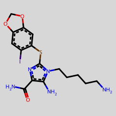 NCCCCCn1c(Sc2cc3c(cc2I)OCO3)nc(C(N)=O)c1N